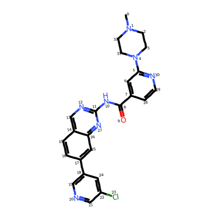 CN1CCN(c2cc(C(=O)Nc3ncc4ccc(-c5cncc(Cl)c5)cc4n3)ccn2)CC1